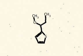 CCC(OC)c1cccs1